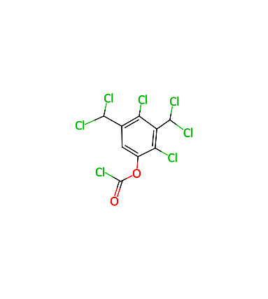 O=C(Cl)Oc1cc(C(Cl)Cl)c(Cl)c(C(Cl)Cl)c1Cl